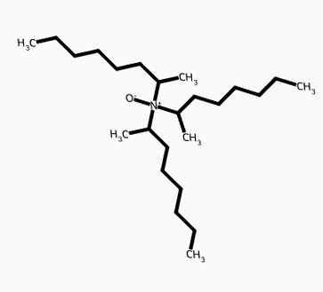 CCCCCCC(C)[N+]([O-])(C(C)CCCCCC)C(C)CCCCCC